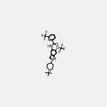 CC(C)(C)N1CCC(n2cc3cc(NC(=O)c4cccc(C(F)(F)F)n4)c(OC(F)(F)F)cc3n2)CC1